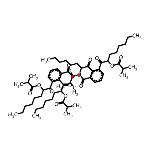 CCCCCCC(OC(=O)C(C)C)C(=O)c1cccc(C(=O)OOC(=O)c2cccc(C(=O)C(CCCCCC)OC(=O)C(C)C)c2C(=O)C(CCCCCC)OC(=O)C(C)C)c1C(=O)C(CCCCCC)OC(=O)C(C)C